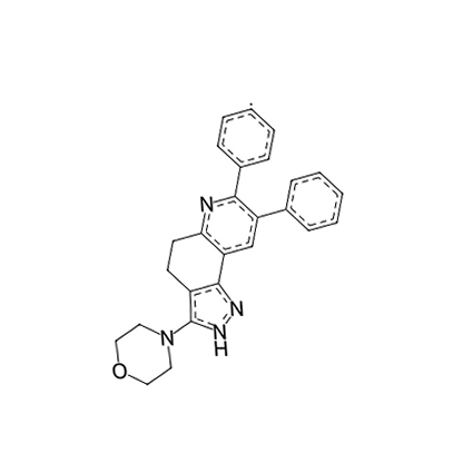 [c]1ccc(-c2nc3c(cc2-c2ccccc2)-c2n[nH]c(N4CCOCC4)c2CC3)cc1